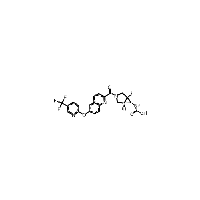 O=C(O)N[C@H]1[C@@H]2CN(C(=O)c3ccc4cc(Oc5ccc(C(F)(F)F)cn5)ccc4n3)C[C@@H]21